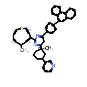 CC1/C=C\C=C/C/C=C\C(C2=NC([C@]3(C)CCCC(c4cccnc4)C3)CC(c3ccc(-c4cc5ccccc5c5ccccc45)cc3)=N2)=C/1